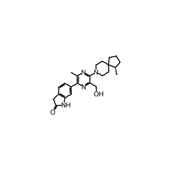 Cc1nc(N2CCC3(CCC[C@H]3C)CC2)c(CO)nc1-c1ccc2c(c1)NC(=O)C2